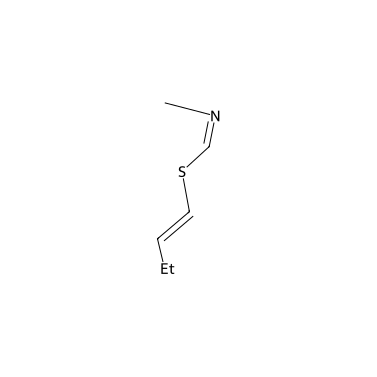 CC/C=C/S/C=N\C